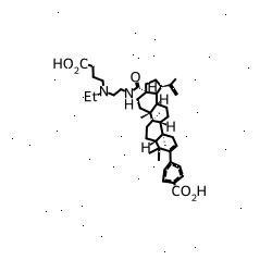 C=C(C)[C@@H]1CC[C@]2(C(=O)NCCN(CC)CCCC(=O)O)CC[C@]3(C)[C@H](CC[C@@H]4[C@@]5(C)CC=C(c6ccc(C(=O)O)cc6)C(C)(C)[C@@H]5CC[C@]43C)[C@@H]12